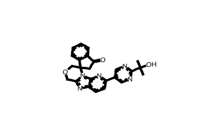 CC(C)(O)c1ncc(-c2ccc3nc4n(c3n2)C2(COC4)CC(=O)c3ccccc32)cn1